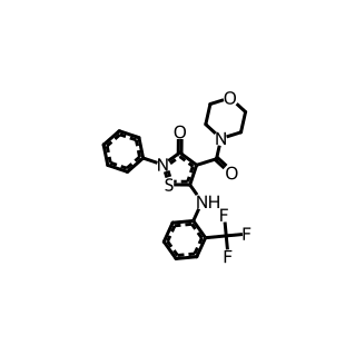 O=C(c1c(Nc2ccccc2C(F)(F)F)sn(-c2ccccc2)c1=O)N1CCOCC1